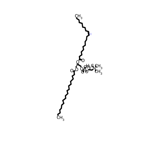 CCCCCCCC/C=C\CCCCCCCCCC(=O)O[C@H](COC(=O)CCCCCCCCCCCCCCCCCCC)COP(=O)(O)OCC[N+](C)(C)C